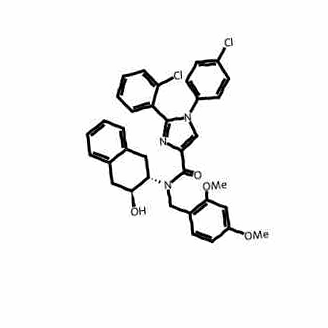 COc1ccc(CN(C(=O)c2cn(-c3ccc(Cl)cc3)c(-c3ccccc3Cl)n2)[C@H]2Cc3ccccc3C[C@@H]2O)c(OC)c1